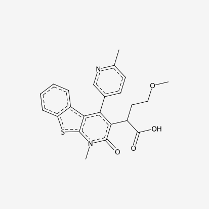 COCCC(C(=O)O)c1c(-c2ccc(C)nc2)c2c3ccccc3sc2n(C)c1=O